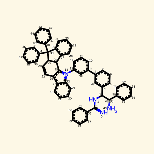 N=C(NC(c1cccc(-c2cccc(-n3c4c(c5ccccc53)C=CC3C4c4ccccc4C3(c3ccccc3)c3ccccc3)c2)c1)[C@H](N)c1ccccc1)c1ccccc1